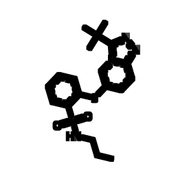 CCCNS(=O)(=O)c1ccccc1Sc1ccc2nnc(C(C)(C)C)n2c1